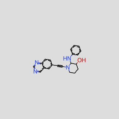 OC1CCCN(C#Cc2ccc3ncncc3c2)C1Nc1ccccc1